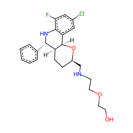 OCCOCCNC[C@H]1CC[C@@H]2[C@H](O1)c1cc(Cl)cc(F)c1N[C@H]2c1ccccc1